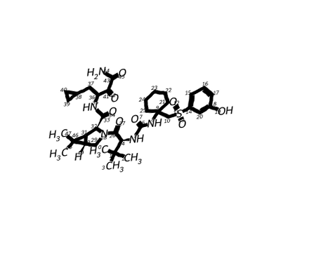 CC(C)(C)[C@H](NC(=O)NC1(CS(=O)(=O)c2cccc(O)c2)CCCCC1)C(=O)N1C[C@H]2C([C@H]1C(=O)NC(CC1CC1)C(=O)C(N)=O)C2(C)C